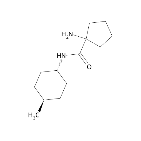 C[C@H]1CC[C@H](NC(=O)C2(N)CCCC2)CC1